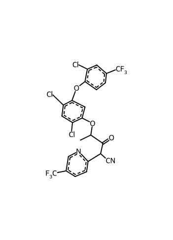 CC(Oc1cc(Oc2ccc(C(F)(F)F)cc2Cl)c(Cl)cc1Cl)C(=O)C(C#N)c1ccc(C(F)(F)F)cn1